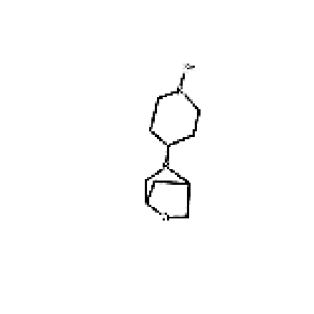 CC(C)N1CCC(N2CC3CC2CO3)CC1